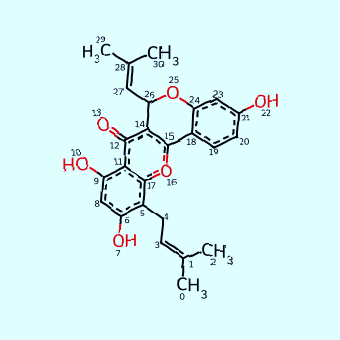 CC(C)=CCc1c(O)cc(O)c2c(=O)c3c(oc12)-c1ccc(O)cc1OC3C=C(C)C